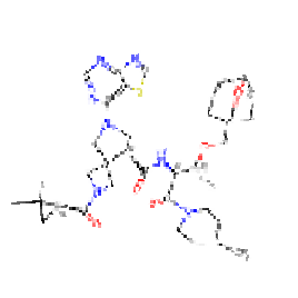 C[C@@H](OCC12CCC(CC1)OC2)[C@H](NC(=O)[C@@H]1CN(c2ncnc3ncsc23)CC12CN(C(=O)[C@H]1CC1(C)C)C2)C(=O)N1CCC(C(F)(F)F)CC1